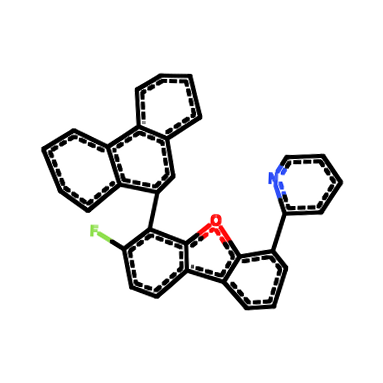 Fc1ccc2c(oc3c(-c4ccccn4)cccc32)c1-c1cc2ccccc2c2ccccc12